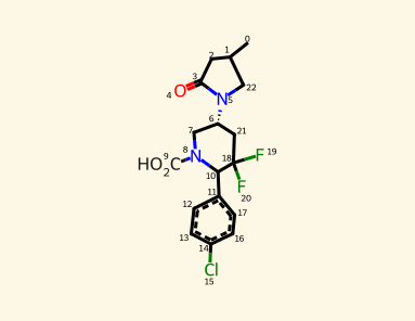 CC1CC(=O)N([C@H]2CN(C(=O)O)C(c3ccc(Cl)cc3)C(F)(F)C2)C1